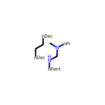 CCCCCCCCCCCCCCCCCCCCCC.CCCCCNCN(C)CCC